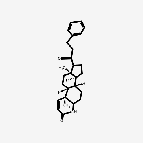 C[C@]12C=CC(=O)NC1CC[C@@H]1[C@H]2CC[C@]2(C)C(C(=O)CCc3ccccc3)CC[C@@H]12